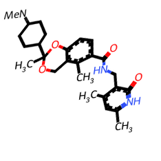 CNC1CCC(C2(C)OCc3c(ccc(C(=O)NCc4c(C)cc(C)[nH]c4=O)c3C)O2)CC1